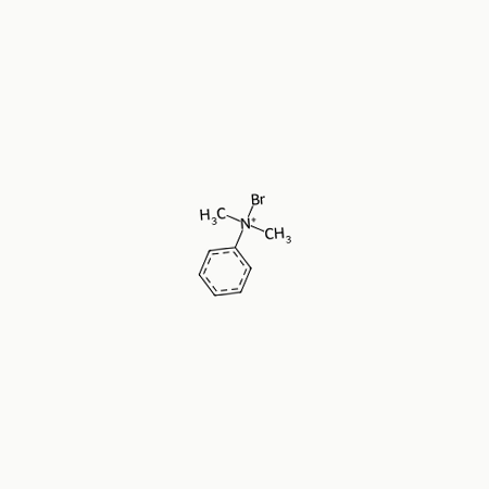 C[N+](C)(Br)c1ccccc1